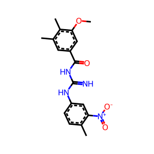 COc1cc(C(=O)NC(=N)Nc2ccc(C)c([N+](=O)[O-])c2)cc(C)c1C